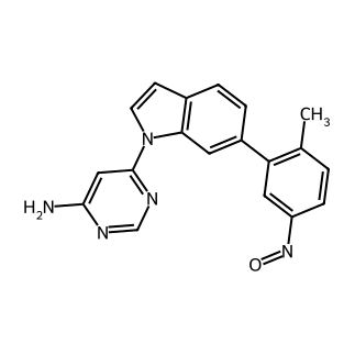 Cc1ccc(N=O)cc1-c1ccc2ccn(-c3cc(N)ncn3)c2c1